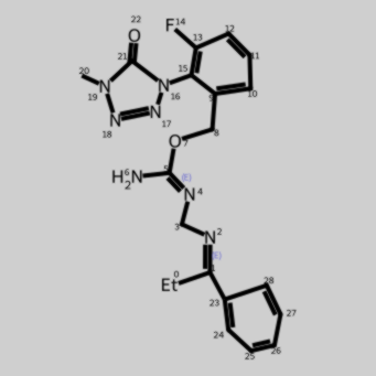 CC/C(=N\C/N=C(\N)OCc1cccc(F)c1-n1nnn(C)c1=O)c1ccccc1